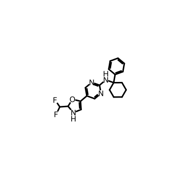 FC(F)C1NC=C(c2cnc(NC3(c4ccccc4)CCCCC3)nc2)O1